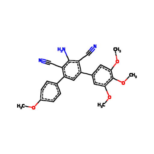 COc1ccc(-c2cc(-c3cc(OC)c(OC)c(OC)c3)c(C#N)c(N)c2C#N)cc1